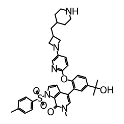 Cc1ccc(S(=O)(=O)n2ccc3c(-c4cc(C(C)(C)O)ccc4Oc4ccc(N5CC(CC6CCNCC6)C5)cn4)cn(C)c(=O)c32)cc1